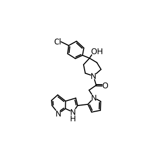 O=C(Cn1cccc1-c1cc2cccnc2[nH]1)N1CCC(O)(c2ccc(Cl)cc2)CC1